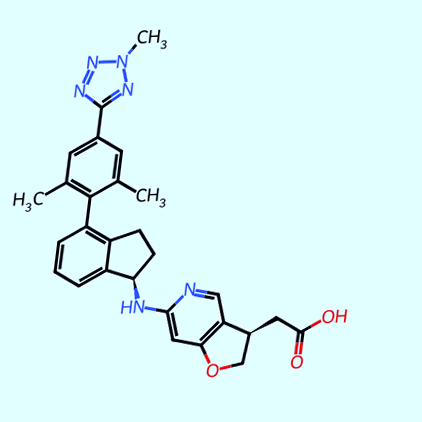 Cc1cc(-c2nnn(C)n2)cc(C)c1-c1cccc2c1CC[C@H]2Nc1cc2c(cn1)[C@@H](CC(=O)O)CO2